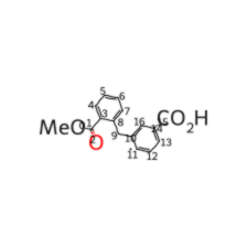 COC(=O)c1ccccc1Cc1[c]ccc(C(=O)O)c1